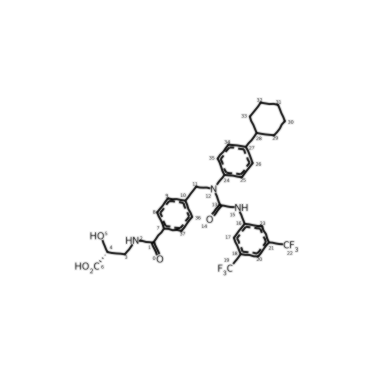 O=C(NC[C@@H](O)C(=O)O)c1ccc(CN(C(=O)Nc2cc(C(F)(F)F)cc(C(F)(F)F)c2)c2ccc(C3CCCCC3)cc2)cc1